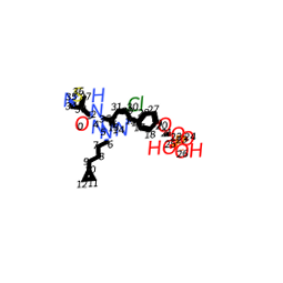 O=C(Nc1nn(CCCCC2CC2)c2nc(-c3ccc(OCOP(=O)(O)O)cc3)c(Cl)cc12)c1cnsc1